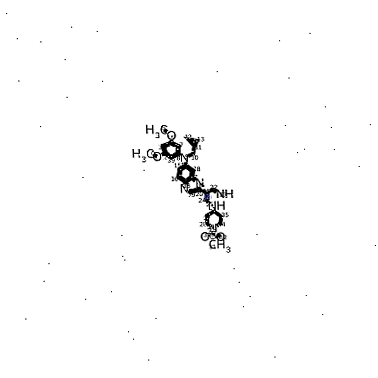 COc1cc(OC)cc(N(CC2CC2)c2ccc3ncc(/C(C=N)=C/NC4CCN(S(C)(=O)=O)CC4)nc3c2)c1